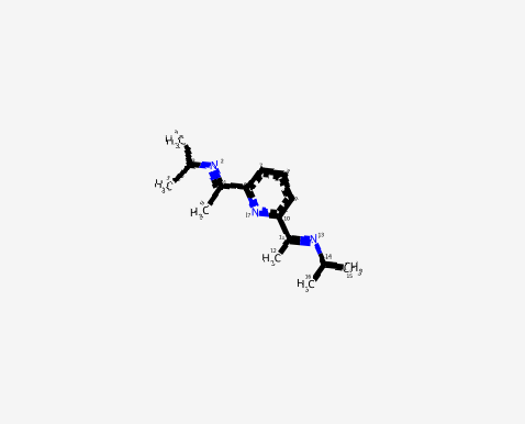 C/C(=N\C(C)C)c1cccc(/C(C)=N/C(C)C)n1